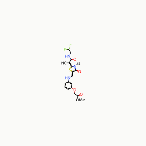 CCn1c(=C(C#N)C(=O)NCC(F)F)sc(=CNc2cccc(OCC(=O)OC)c2)c1=O